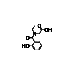 CCN(CC(=O)O)C(=O)c1ccccc1O